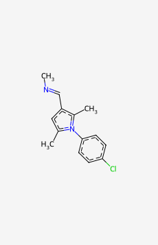 C/N=C/c1cc(C)n(-c2ccc(Cl)cc2)c1C